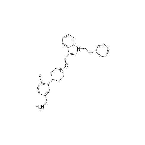 NCc1ccc(F)c(C2CCN(OCc3cn(CCc4ccccc4)c4ccccc34)CC2)c1